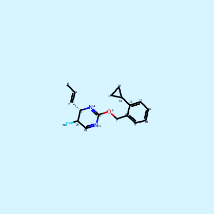 C/C=C/[C@@H]1N=C(OCc2ccccc2C2CC2)N=CC1F